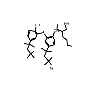 CC(C)(C)CC(C)(C)c1ccc(O)c(Sc2cc(C(C)(C)CC(C)(C)C)ccc2O)c1.CCCCC(CC)CN.[Ni]